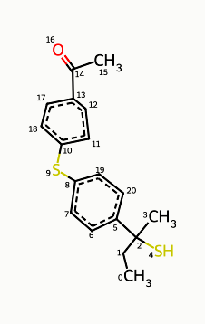 CCC(C)(S)c1ccc(Sc2ccc(C(C)=O)cc2)cc1